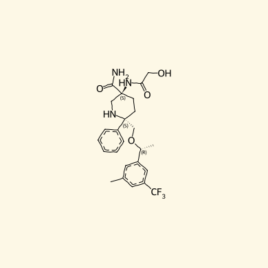 Cc1cc([C@@H](C)OC[C@@]2(c3ccccc3)CC[C@@](NC(=O)CO)(C(N)=O)CN2)cc(C(F)(F)F)c1